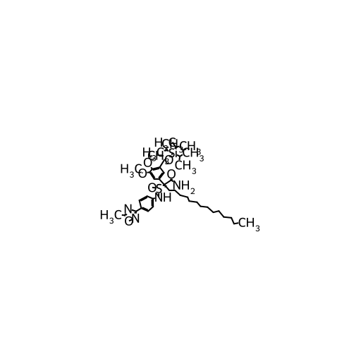 CCCCCCCCCCCCCCC(C(N)=O)(c1cc(CO[Si](C(C)C)(C(C)C)C(C)C)c(OC)c(OC)c1)[S+]([O-])Nc1ccc(-c2noc(C)n2)cc1